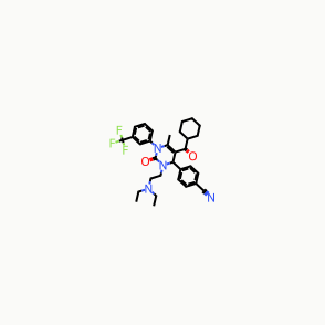 CCN(CC)CCN1C(=O)N(c2cccc(C(F)(F)F)c2)C(C)=C(C(=O)C2CCCCC2)C1c1ccc(C#N)cc1